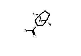 CC(C)C(=O)N1C[C@H]2CC[C@@H](C1)N2